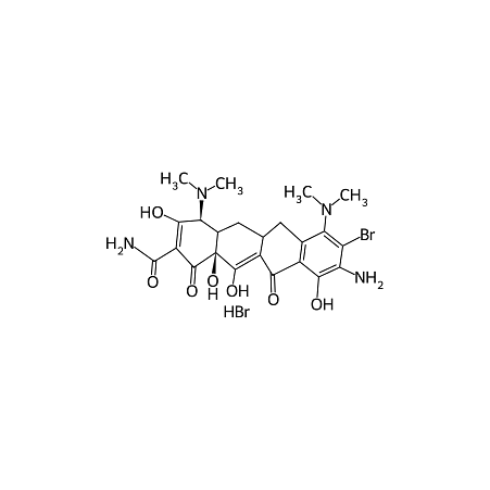 Br.CN(C)c1c(Br)c(N)c(O)c2c1CC1CC3[C@H](N(C)C)C(O)=C(C(N)=O)C(=O)[C@@]3(O)C(O)=C1C2=O